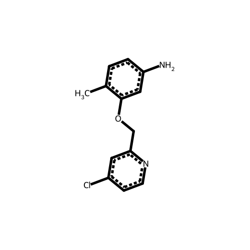 Cc1ccc(N)cc1OCc1cc(Cl)ccn1